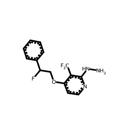 NNc1nccc(OCC(F)c2ccccc2)c1C(F)(F)F